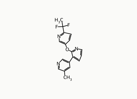 Cc1cncc(-c2cccnc2Oc2ccc(C(C)(F)F)nc2)c1